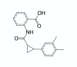 Cc1ccc(C2CC2C(=O)Nc2ccccc2C(=O)O)cc1C